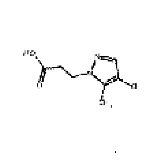 Cc1c(Cl)cnn1CCC(=O)O